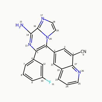 N#Cc1cc(-c2c(-c3cccc(F)c3)nc(N)c3nccn23)cc2cccnc12